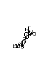 CC(C)(C)OC(=O)N1CCN([C@@H]2CN3c4cc(Cl)nc(C(F)F)c4CCC[C@@H]23)CC1